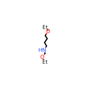 CCOCCCCNCOCC